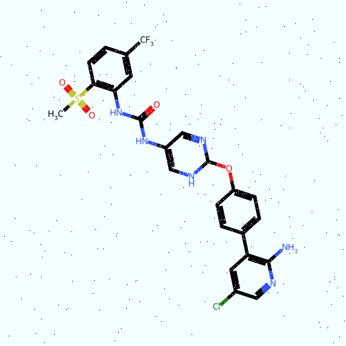 CS(=O)(=O)c1ccc(C(F)(F)F)cc1NC(=O)NC1=CNC(Oc2ccc(-c3cc(Cl)cnc3N)cc2)N=C1